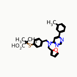 Cc1cccc(-c2cc(N(Cc3ccc(SC(C)(C)C(=O)O)cc3)Cc3ccco3)ncn2)c1